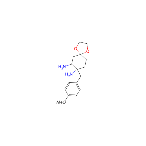 COc1ccc(CC2(N)CCC3(CC2N)OCCO3)cc1